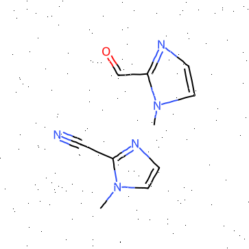 Cn1ccnc1C#N.Cn1ccnc1C=O